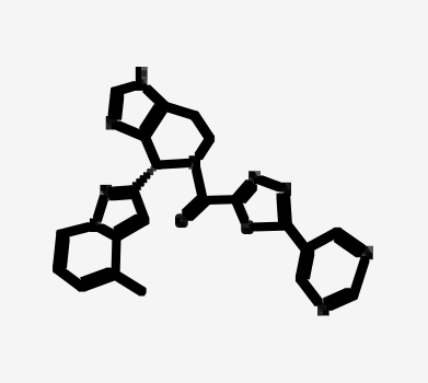 Cc1cccn2nc([C@@H]3c4nc[nH]c4CCN3C(=O)c3nnc(-c4cncnc4)o3)cc12